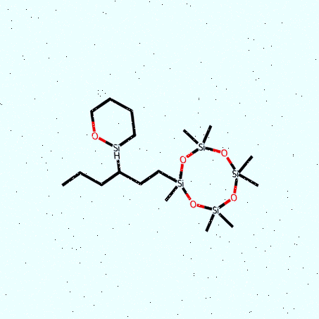 CCCC(CC[Si]1(C)O[Si](C)(C)O[Si](C)(C)O[Si](C)(C)O1)[SiH]1CCCCO1